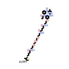 C=CC(=O)Nc1cccc(Nc2nc(Nc3cccc(OCCCNC(=O)CCCC(=O)NCCCOCCOCCOCCCNC(=O)CCCC[C@@H]4SCC(NC(C)=O)C4C)c3)ncc2C)c1